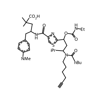 C#CCCCCN(C(=O)CCCC)C(CC(OC(=O)NCC)c1nc(C(=O)NC(Cc2ccc(NC)cc2)CC(C)(C)C(=O)O)cs1)C(C)C